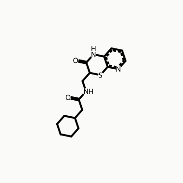 O=C(CC1CCCCC1)NCC1Sc2ncccc2NC1=O